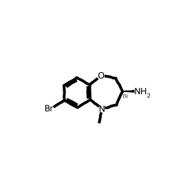 CN1C[C@H](N)COc2ccc(Br)cc21